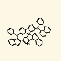 c1ccc(N(c2ccc3c(c2)C2(c4cc(N(c5ccccc5)c5cccc6ccccc56)ccc4-3)c3cccnc3-c3c2ccc2ccccc32)c2cccc3ccccc23)cc1